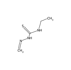 C=NNC(=S)NCC